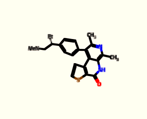 CC[C@@H](CNC)c1ccc(-c2c(C)nc(C)c3[nH]c(=O)c4sccc4c23)cc1